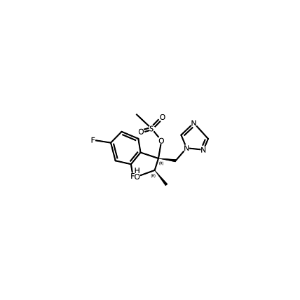 C[C@@H](O)[C@@](Cn1cncn1)(OS(C)(=O)=O)c1ccc(F)cc1F